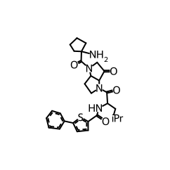 CC(C)CC(NC(=O)c1ccc(-c2ccccc2)s1)C(=O)N1CCC2C1C(=O)CN2C(=O)C1(N)CCCC1